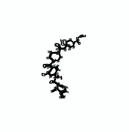 Cn1c(Br)cnc1C(=O)Nc1ccc(C(=O)N2CCN(C(=O)CC3(O)CCN(C(=O)OC(C)(C)C)CC3)CC2)c(Cl)c1